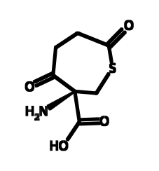 N[C@]1(C(=O)O)CSC(=O)CCC1=O